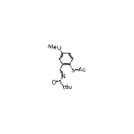 COc1ccc(SC(C)=O)c(/C=N/[S+]([O-])C(C)(C)C)c1